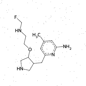 Cc1cc(N)nc(CC2CNCC2OCCNCF)c1